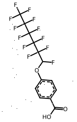 O=C(O)c1ccc(OC(F)C(F)(F)C(F)(F)C(F)(F)C(F)(F)C(F)(F)F)cc1